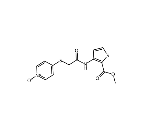 COC(=O)c1sccc1NC(=O)CSc1cc[n+]([O-])cc1